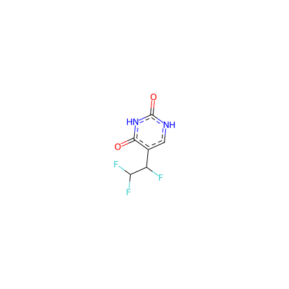 O=c1[nH]cc(C(F)C(F)F)c(=O)[nH]1